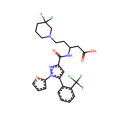 O=C(O)CC(CCN1CCCC(F)(F)C1)NC(=O)c1cc(-c2ccccc2C(F)(F)F)n(-c2cccs2)n1